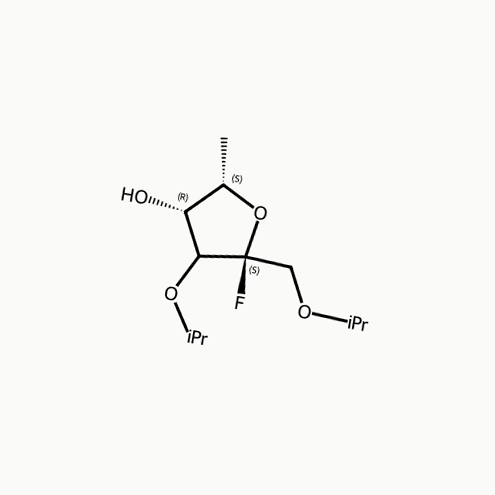 CC(C)OC[C@@]1(F)O[C@@H](C)[C@@H](O)C1OC(C)C